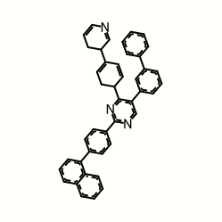 C1=CN=CC(C2=CCC(c3nc(-c4ccc(-c5cccc6ccccc56)cc4)ncc3-c3cccc(-c4ccccc4)c3)C=C2)C1